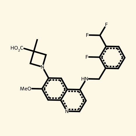 COc1cc2nccc(NCc3cccc(C(F)F)c3F)c2cc1N1CC(C)(C(=O)O)C1